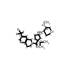 CO[C@H]1COCC[C@@H]1N[C@H]1CC[C@@](C(=O)N2CCc3ncc(C(F)(F)F)cc3C2)(C(C)C)C1